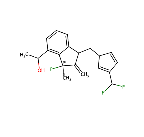 C=C1C(CC2C=CC(C(F)F)=C2)c2cccc(C(C)O)c2[C@]1(C)F